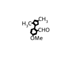 COc1ccc(C2=C(C)C=C(C)C2)c(C=O)c1